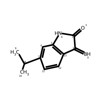 B=C1C(=O)Nc2cc(C(C)C)ccc21